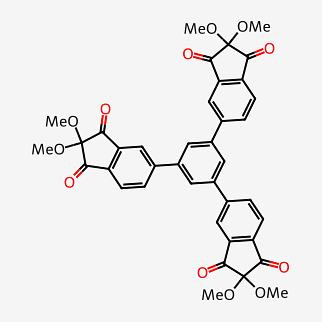 COC1(OC)C(=O)c2ccc(-c3cc(-c4ccc5c(c4)C(=O)C(OC)(OC)C5=O)cc(-c4ccc5c(c4)C(=O)C(OC)(OC)C5=O)c3)cc2C1=O